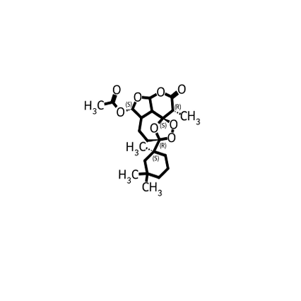 CC(=O)O[C@@H]1OC2OC(=O)[C@H](C)[C@@]34OO[C@@]([C@@]5(C)CCCC(C)(C)C5)(CCC1C23)O4